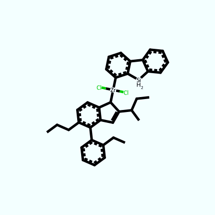 CCCc1ccc2c(c1-c1ccccc1CC)C=C(C(C)CC)[CH]2[Zr]([Cl])([Cl])[c]1cccc2c1[SiH2]c1ccccc1-2